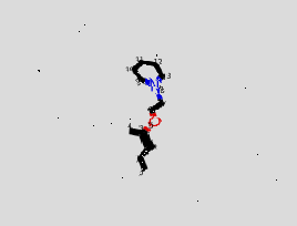 CC/C=C(\C)OCCN1CCCCC1